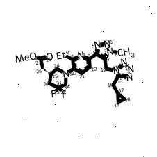 CCc1nc(-c2nnn(C)c2Cn2nnnc2CC2CC2)ccc1N1C[C@@H](CC(=O)OC)CC(F)(F)C1